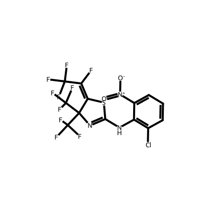 O=[N+]([O-])c1cccc(Cl)c1NC1=NC(C(F)(F)F)(C(F)(F)F)C(=C(F)C(F)(F)F)S1